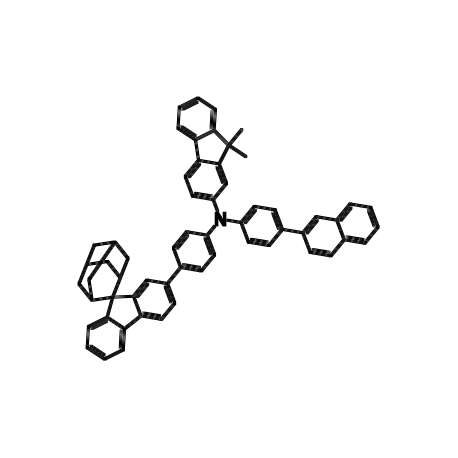 CC1(C)c2ccccc2-c2ccc(N(c3ccc(-c4ccc5c(c4)C4(c6ccccc6-5)C5CC6CC(C5)CC4C6)cc3)c3ccc(-c4ccc5ccccc5c4)cc3)cc21